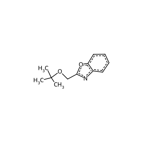 CC(C)(C)OCc1nc2ccccc2o1